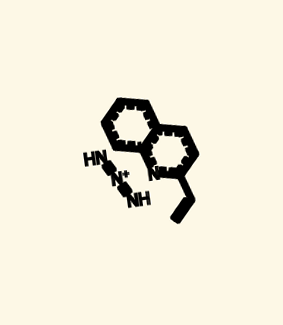 C=Cc1ccc2ccccc2n1.N=[N+]=N